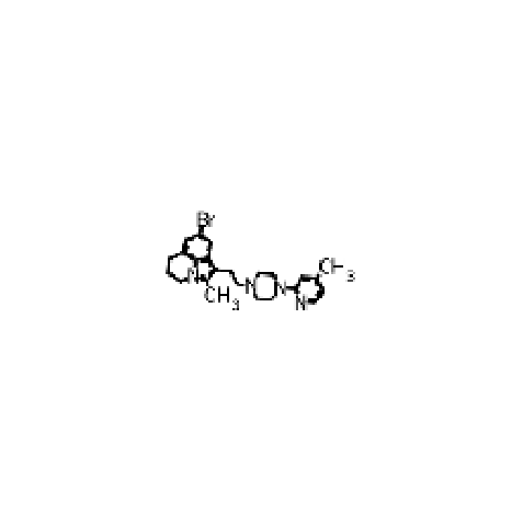 Cc1ccnc(N2CCN(CCc3c(C)n4c5c(cc(Br)cc35)CCC4)CC2)c1